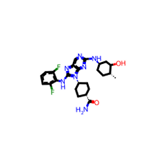 C[C@@H]1CC[C@@H](Nc2ncc3nc(Nc4c(F)cccc4F)n([C@H]4CC[C@@H](C(N)=O)CC4)c3n2)CC1O